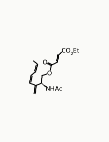 C=C(/C=C\C=C/C)[C@@H](COC(=O)/C=C/C(=O)OCC)NC(C)=O